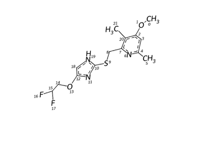 COc1cc(C)nc(CSc2nc(OCC(F)F)c[nH]2)c1C